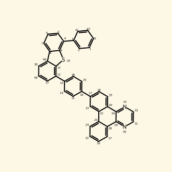 c1ccc(-c2cccc3c2sc2c(-c4ccc(-c5ccc6c(c5)c5ccccc5c5nccnc65)cc4)cccc23)cc1